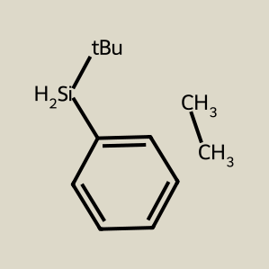 CC.CC(C)(C)[SiH2]c1ccccc1